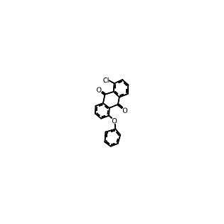 O=C1c2cccc(Oc3ccccc3)c2C(=O)c2cccc(Cl)c21